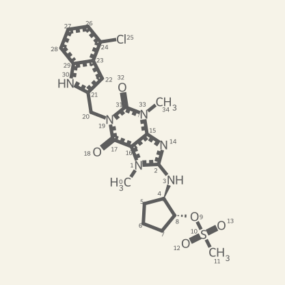 Cn1c(N[C@@H]2CCC[C@H]2OS(C)(=O)=O)nc2c1c(=O)n(Cc1cc3c(Cl)cccc3[nH]1)c(=O)n2C